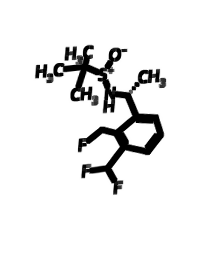 C[C@@H](N[S+]([O-])C(C)(C)C)c1cccc(C(F)F)c1CF